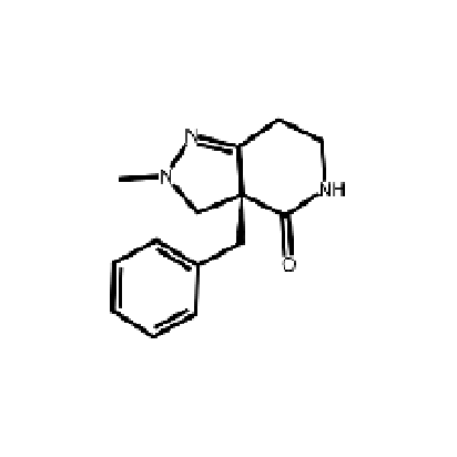 CN1C[C@@]2(Cc3ccccc3)C(=O)NCCC2=N1